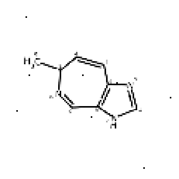 CC1C=Cc2nc[nH]c2C=N1